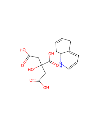 C1=CNC2CC=CCC2=C1.O=C(O)CC(O)(CC(=O)O)C(=O)O